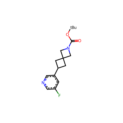 CC(C)(C)OC(=O)N1CC2(CC(c3cncc(F)c3)C2)C1